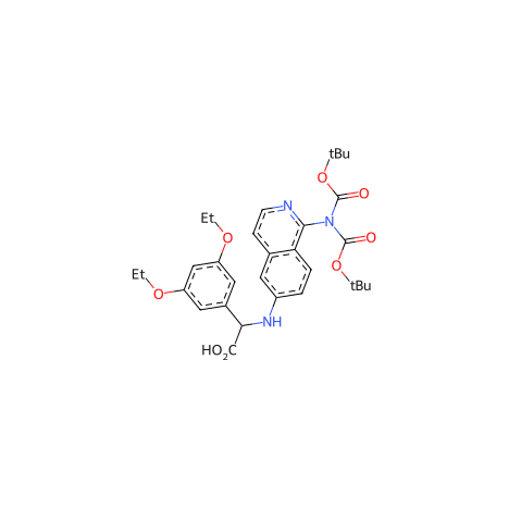 CCOc1cc(OCC)cc(C(Nc2ccc3c(N(C(=O)OC(C)(C)C)C(=O)OC(C)(C)C)nccc3c2)C(=O)O)c1